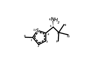 Cc1ccc([C@H](N)C(C)(C)C)s1